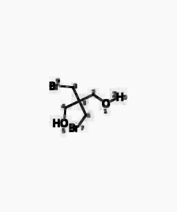 [2H]OCC(CO)(CBr)CBr